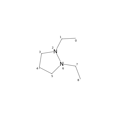 CCN1C[CH]CN1CC